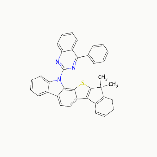 CC1(C)C2=C(C=CCC2)c2c1sc1c2ccc2c3ccccc3n(-c3nc(-c4ccccc4)c4ccccc4n3)c21